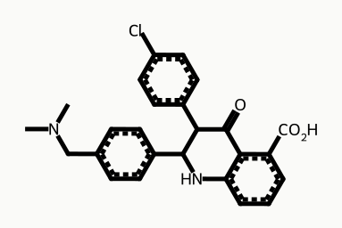 CN(C)Cc1ccc(C2Nc3cccc(C(=O)O)c3C(=O)C2c2ccc(Cl)cc2)cc1